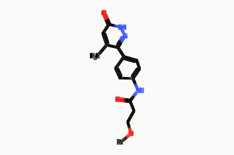 CCOCCC(=O)Nc1ccc(-c2n[nH]c(=O)cc2C)cc1